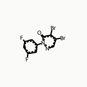 O=c1c(Br)c(Br)cnn1-c1cc(F)cc(F)c1